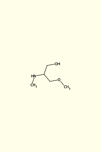 CNC(CO)COC